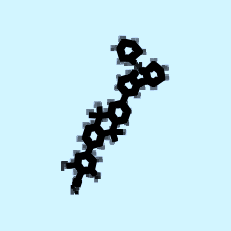 CC1(C)c2ccc(-c3ccc4c(c3)c3ccccc3n4-c3ccccc3)cc2C(C)(C)c2ccc(-c3cc(F)c(C#N)c(F)c3)cc21